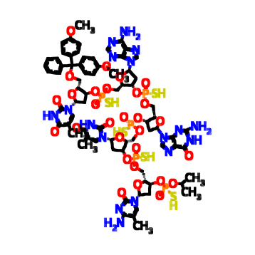 COc1ccc(C(OC[C@H]2O[C@@H](n3cc(C)c(=O)[nH]c3=O)C[C@@H]2O[P@](=O)(S)OC[C@H]2O[C@@H](n3cnc4c(N)ncnc43)C[C@@H]2O[P@](=O)(S)OC[C@H]2O[C@@H](n3cnc4c(=O)[nH]c(N)nc43)C[C@@H]2O[P@](=O)(S)OC[C@H]2O[C@@H](n3cc(C)c(=O)[nH]c3=O)C[C@@H]2O[P@](=O)(S)OC[C@H]2O[C@@H](n3cc(C)c(N)nc3=O)C[C@@H]2O[P@](=O)(S)OC(C)C)(c2ccccc2)c2ccc(OC)cc2)cc1